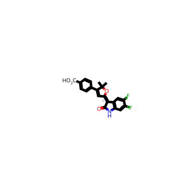 CC1(C)O/C(=C2/C(=O)Nc3cc(F)c(F)cc32)C=C1c1ccc(C(=O)O)cc1